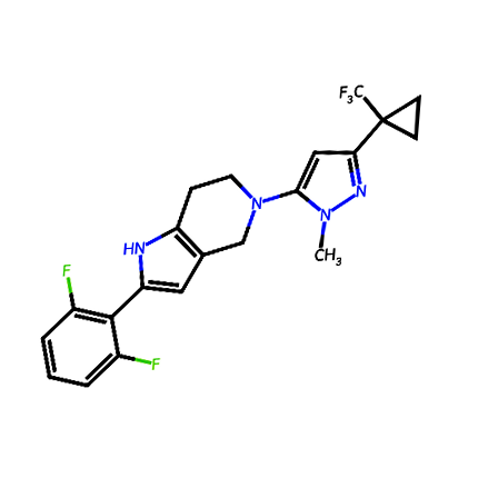 Cn1nc(C2(C(F)(F)F)CC2)cc1N1CCc2[nH]c(-c3c(F)cccc3F)cc2C1